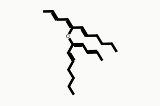 CC=CC=C(C=CCCCC)OC(C=CCCCC)=CC=CC